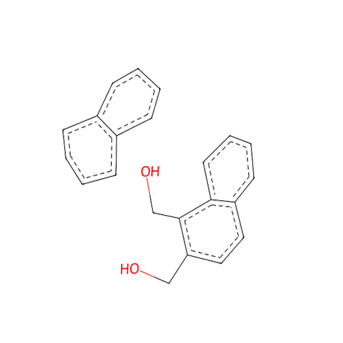 OCc1ccc2ccccc2c1CO.c1ccc2ccccc2c1